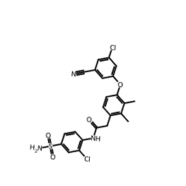 Cc1c(CC(=O)Nc2ccc(S(N)(=O)=O)cc2Cl)ccc(Oc2cc(Cl)cc(C#N)c2)c1C